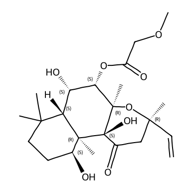 C=C[C@@]1(C)CC(=O)[C@]2(O)[C@@]3(C)[C@@H](O)CCC(C)(C)[C@@H]3[C@H](O)[C@H](OC(=O)COC)[C@@]2(C)O1